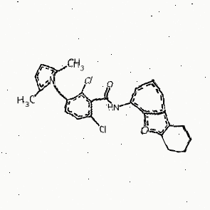 Cc1ccc(C)n1-c1ccc(Cl)c(C(=O)Nc2cccc3c4c(oc23)CCCC4)c1Cl